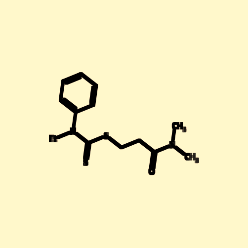 CCN(C(=S)SCCC(=O)N(C)C)c1ccccc1